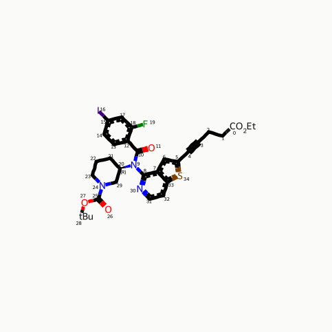 CCOC(=O)CCC#Cc1cc2c(N(C(=O)c3ccc(I)cc3F)[C@@H]3CCCN(C(=O)OC(C)(C)C)C3)nccc2s1